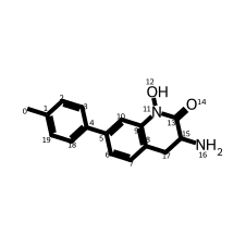 Cc1ccc(-c2ccc3c(c2)N(O)C(=O)C(N)C3)cc1